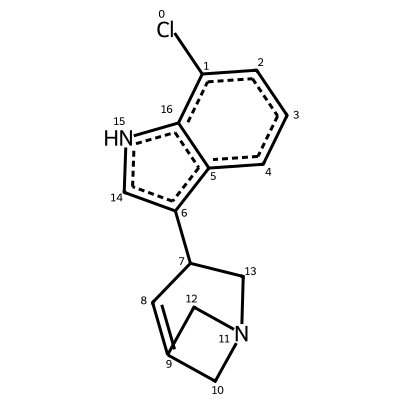 Clc1cccc2c(C3C=C4CN(C4)C3)c[nH]c12